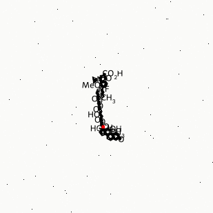 COc1c(N2CCN(C(=O)OCOC(=O)CC(O)CC(=O)OCC(=O)[C@@]3(O)CCC4C5CCC6=CC(=O)C=C[C@]6(C)C5[C@@H](O)C[C@@]43C)C(C)C2)c(F)cc2c(=O)c(C(=O)O)cn(C3CC3)c12